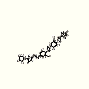 Cc1cc(/N=N/c2ccc(N3CCCC3)s2)ccc1/N=N/c1ccc(/N=N/c2nccs2)c(C)c1